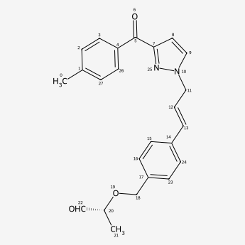 Cc1ccc(C(=O)c2ccn(C/C=C/c3ccc(CO[C@H](C)C=O)cc3)n2)cc1